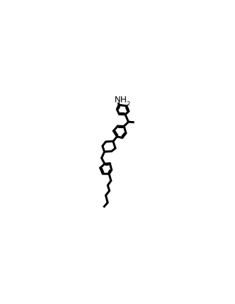 CCCCCCc1ccc(CC2CCC(c3ccc(C(C)c4ccc(N)cc4)cc3)CC2)cc1